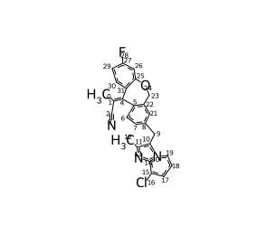 CC(C#N)=C1c2ccc(Cc3c(C)nc4c(Cl)cccn34)cc2COc2cc(F)ccc21